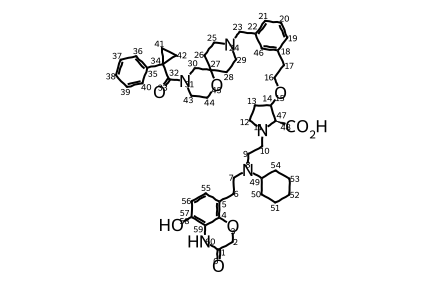 O=C1COc2c(CCN(CCN3CCC(OCCc4cccc(CN5CCC6(CC5)CN(C(=O)C5(c7ccccc7)CC5)CCO6)c4)[C@H]3C(=O)O)C3CCCCC3)ccc(O)c2N1